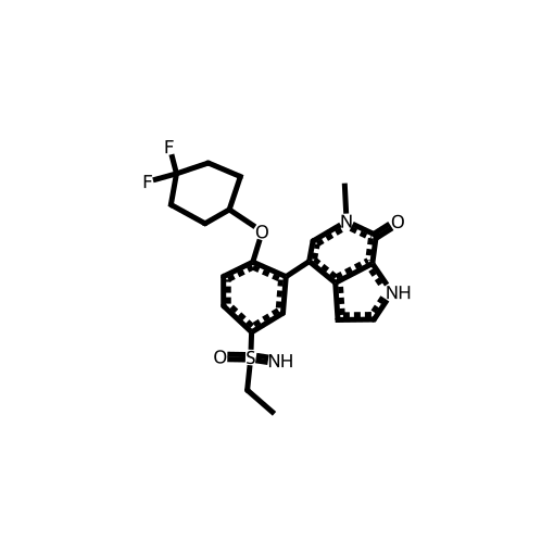 CCS(=N)(=O)c1ccc(OC2CCC(F)(F)CC2)c(-c2cn(C)c(=O)c3[nH]ccc23)c1